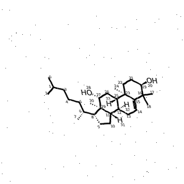 CC(C)CCC[C@@H](C)[C@H]1CC[C@H]2[C@@H]3CC=C4C(C)(C)[C@H](O)CC[C@]4(C)[C@H]3C[C@@H](O)[C@]12C